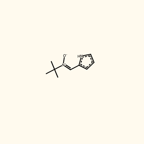 CC(C)(C)[N+]([O-])=Cc1ccc[nH]1